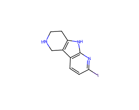 Ic1ccc2c3c([nH]c2n1)CCNC3